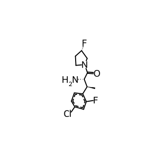 C[C@@H](c1ccc(Cl)cc1F)[C@H](N)C(=O)N1CC[C@H](F)C1